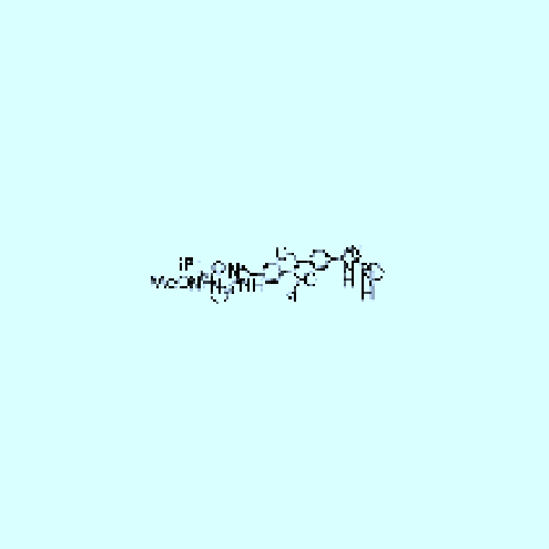 CON[C@H](C(=O)N1CCC[C@H]1c1ncc(-c2ccc3c(c2)OCC2=C3C(C3CC3)Oc3cc(-c4cnc([C@@H]5CCCN5)[nH]4)ccc32)[nH]1)C(C)C